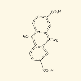 Cl.O=C(O)c1ccc2oc3ccc(C(=O)O)cc3c(=O)c2c1